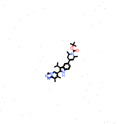 Cc1c(-c2[nH]c3ccc(C4=CC(C)N(C(=O)OC(C)(C)C)C(C)C4)cc3c2C(C)C)cn2cnnc2c1C